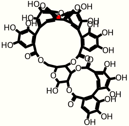 O=C1OC2C(OC(=O)c3cc(O)c(O)c(O)c3-c3cc1c(O)c(O)c3O)C(O)OC1COC(=O)c3cc(O)c(O)c(O)c3-c3c(O)c(O)c4oc(=O)c5c(c(O)c(O)c6oc(=O)c3c4c65)-c3c(cc(O)c(O)c3O)C(=O)OC12